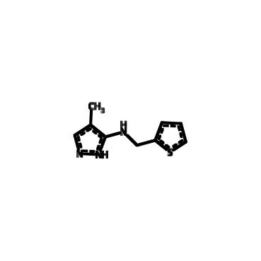 Cc1cn[nH]c1NCc1cccs1